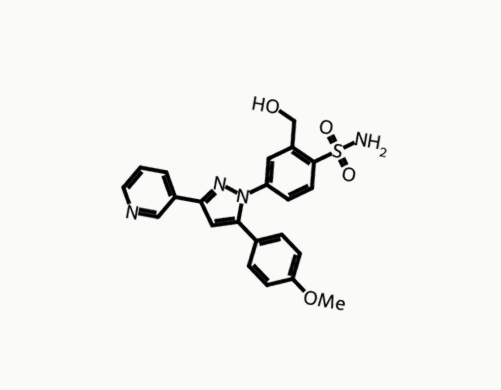 COc1ccc(-c2cc(-c3cccnc3)nn2-c2ccc(S(N)(=O)=O)c(CO)c2)cc1